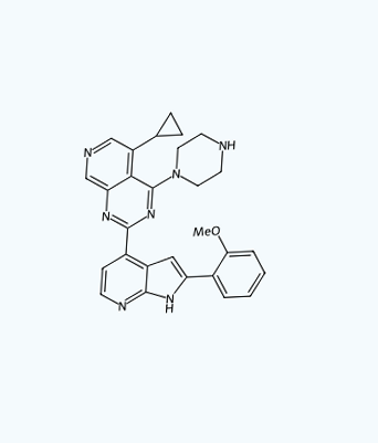 COc1ccccc1-c1cc2c(-c3nc(N4CCNCC4)c4c(C5CC5)cncc4n3)ccnc2[nH]1